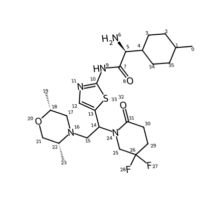 CC1CCC([C@H](N)C(=O)Nc2ncc(C(CN3C[C@@H](C)OC[C@H]3C)N3CC(F)(F)CCC3=O)s2)CC1